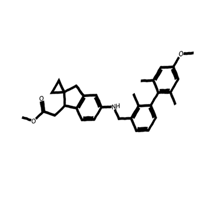 COC(=O)CC1c2ccc(NCc3cccc(-c4c(C)cc(OC)cc4C)c3C)cc2CC12CC2